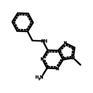 Cn1cnc2c(NCc3ccccc3)nc(N)nc21